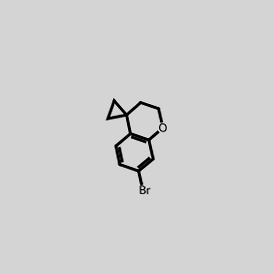 Brc1ccc2c(c1)OCCC21CC1